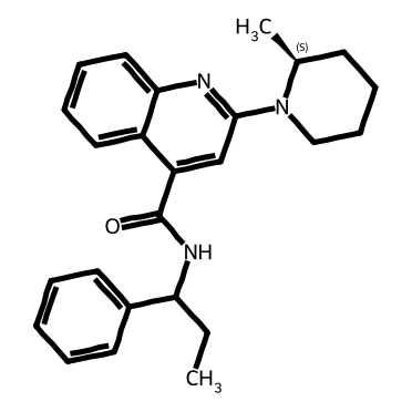 CCC(NC(=O)c1cc(N2CCCC[C@@H]2C)nc2ccccc12)c1ccccc1